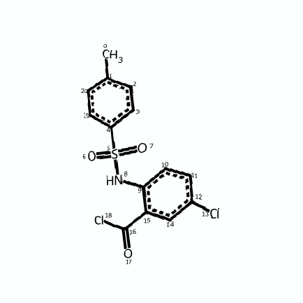 Cc1ccc(S(=O)(=O)Nc2ccc(Cl)cc2C(=O)Cl)cc1